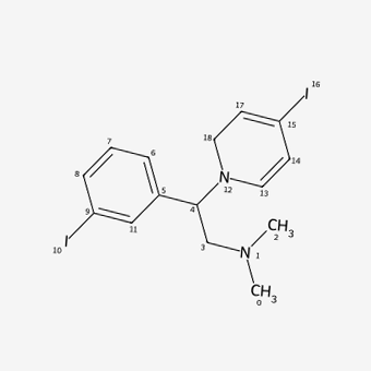 CN(C)CC(c1cccc(I)c1)N1C=CC(I)=CC1